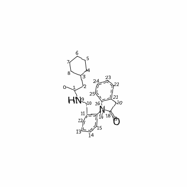 CC(CC1CCCCC1)NCc1ccccc1N1C(=O)Cc2ccccc21